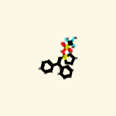 O=S(=O)(OS1(C=C(c2ccccc2)c2ccccc2)CCCC1)C(F)(F)F